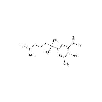 Cc1cc(C(C)(C)CCCC(C)N)cc(C(=O)O)c1O